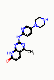 Cc1nc(Nc2ccc(N3CCNCC3)cn2)nc2[nH]c(=O)ccc12